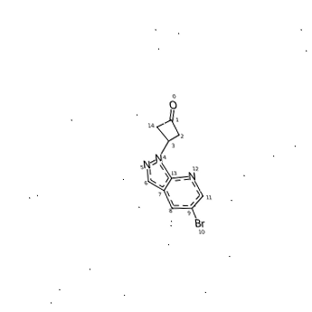 O=C1CC(n2ncc3cc(Br)cnc32)C1